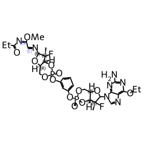 CCOc1nc(N)nc2c1ncn2C1O[C@@H]2COP(=O)(Oc3cccc(OP4(=O)OC[C@H]5O[C@@H](/N=C/C(=N\C(=O)CC)OC)[C@](C)(F)[C@@H]5O4)c3)O[C@H]2[C@@]1(C)F